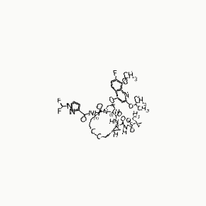 COc1c(F)ccc2c(O[C@@H]3C[C@H]4C(=O)N[C@]5(C(=O)NS(=O)(=O)C6(C)CC6)C[C@H]5C=CCCCCC[C@H](NC(=O)c5ccn(C(F)F)n5)C(=O)N4C3)cc(OC(C)C)nc12